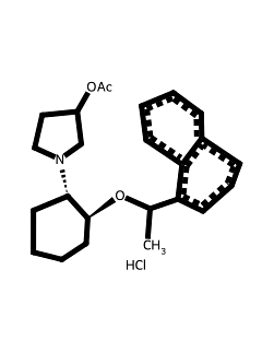 CC(=O)OC1CCN([C@H]2CCCC[C@@H]2OC(C)c2cccc3ccccc23)C1.Cl